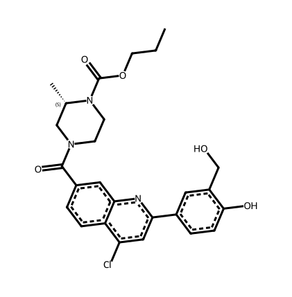 CCCOC(=O)N1CCN(C(=O)c2ccc3c(Cl)cc(-c4ccc(O)c(CO)c4)nc3c2)C[C@@H]1C